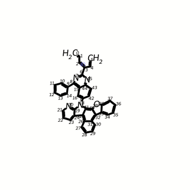 C=C/C=C(\C=C)c1nc(-c2ccccc2)c2cc(-n3c4ncccc4c4c5ccccc5c5c6ccccc6oc5c43)ccc2n1